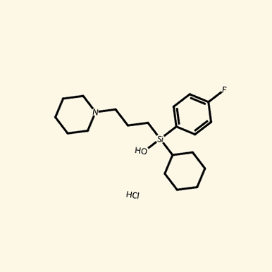 Cl.O[Si](CCCN1CCCCC1)(c1ccc(F)cc1)C1CCCCC1